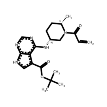 C=CC(=O)N1C[C@H](Nc2ncnc3[nH]cc(C(=O)OC(C)(C)C)c23)CC[C@@H]1C